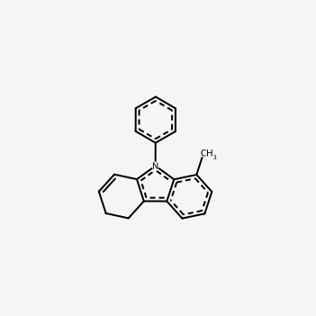 Cc1cccc2c3c(n(-c4ccccc4)c12)C=CCC3